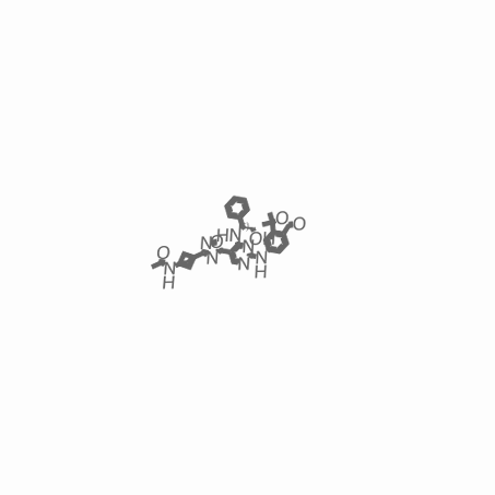 CC(=O)NC12CC(c3noc(-c4cnc(Nc5ccc6c(c5)C(C)(C)OC6=O)nc4N[C@H](CO)c4ccccc4)n3)(C1)C2